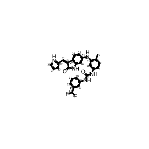 Cc1ccc(NC(=O)Nc2cccc(C(F)F)c2)cc1Nc1ccc2c(c1)NC(=O)C2=Cc1ccc[nH]1